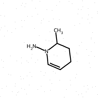 CC1CCC=CN1N